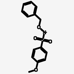 COc1ccc(S(=O)(=O)[N]OCc2ccccc2)cc1